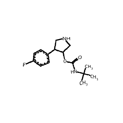 CC(C)(C)NC(=O)OC1CNCC1c1ccc(F)cc1